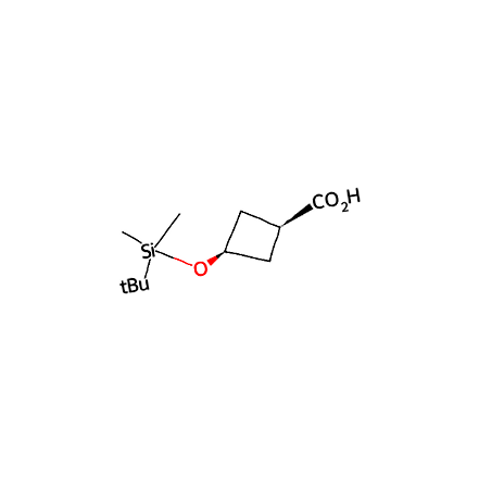 CC(C)(C)[Si](C)(C)O[C@H]1C[C@@H](C(=O)O)C1